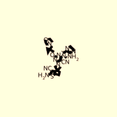 C[C@H](c1nccnc1N)N(C)c1nc(OCC2(CN3CCOCC3)CC2)nc(N2CC3(CCc4sc(N)c(C#N)c43)C2)c1C#N